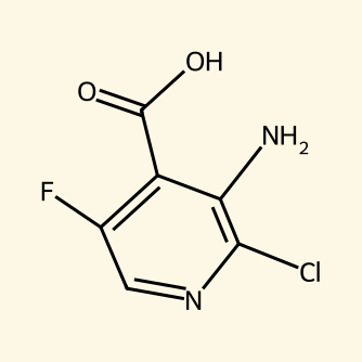 Nc1c(Cl)ncc(F)c1C(=O)O